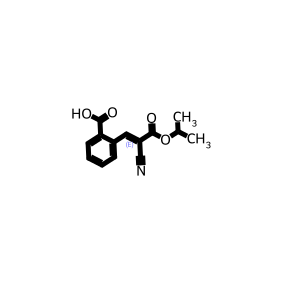 CC(C)OC(=O)/C(C#N)=C/c1ccccc1C(=O)O